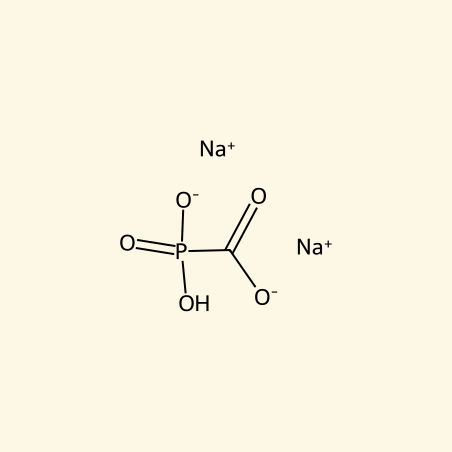 O=C([O-])P(=O)([O-])O.[Na+].[Na+]